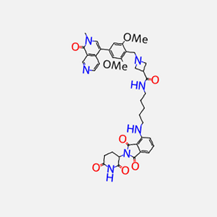 COc1cc(-c2cn(C)c(=O)c3cnccc23)cc(OC)c1CN1CC(C(=O)NCCCCCNc2cccc3c2C(=O)N(C2CCC(=O)NC2=O)C3=O)C1